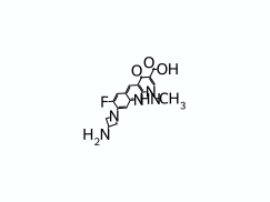 CNn1cc(C(=O)O)c(=O)c2cc3cc(F)c(N4CC(N)C4)cc3nc21